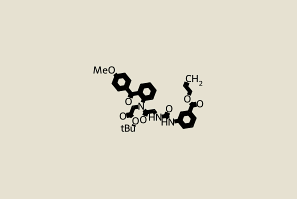 C=CCOC(=O)c1cccc(NC(=O)NCC(=O)N(CC(=O)OC(C)(C)C)c2ccccc2C(=O)c2ccc(OC)cc2)c1